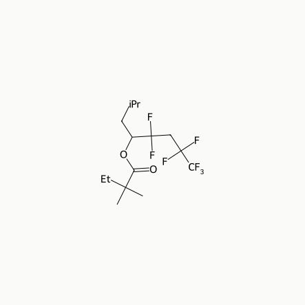 CCC(C)(C)C(=O)OC(CC(C)C)C(F)(F)CC(F)(F)C(F)(F)F